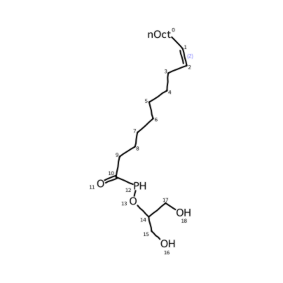 CCCCCCCC/C=C\CCCCCCCC(=O)POC(CO)CO